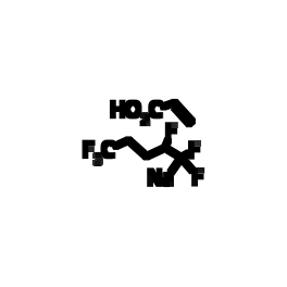 C=CC(=O)O.FC(CCC(F)(F)F)[C](F)(F)[Na]